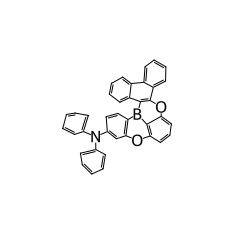 c1ccc(N(c2ccccc2)c2ccc3c(c2)Oc2cccc4c2B3c2c(c3ccccc3c3ccccc23)O4)cc1